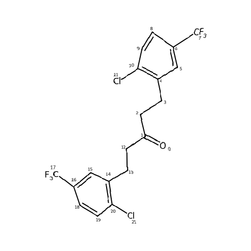 O=C(CCc1cc(C(F)(F)F)ccc1Cl)CCc1cc(C(F)(F)F)ccc1Cl